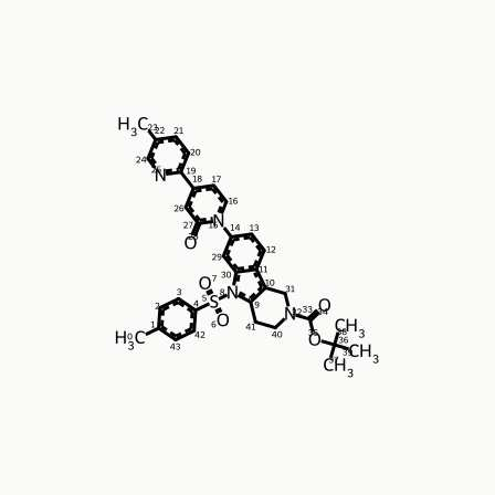 Cc1ccc(S(=O)(=O)n2c3c(c4ccc(-n5ccc(-c6ccc(C)cn6)cc5=O)cc42)CN(C(=O)OC(C)(C)C)CC3)cc1